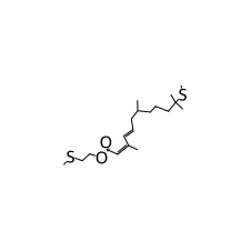 CSCCOC(=O)C=C(C)C=CCC(C)CCCC(C)(C)SC